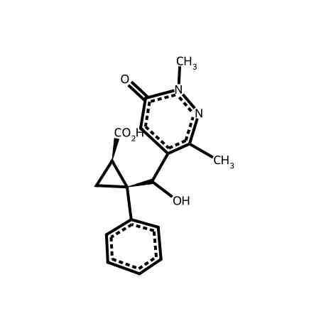 Cc1nn(C)c(=O)cc1C(O)[C@@]1(c2ccccc2)C[C@H]1C(=O)O